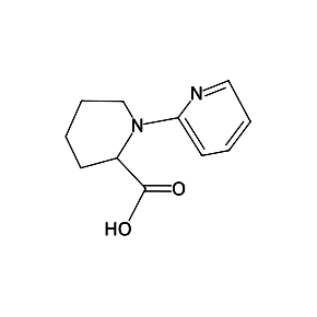 O=C(O)C1CCCCN1c1ccccn1